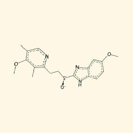 COc1ccc2[nH]c([S@@+]([O-])CCc3ncc(C)c(OC)c3C)nc2c1